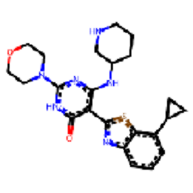 O=c1[nH]c(N2CCOCC2)nc(NC2CCCNC2)c1-c1nc2cccc(C3CC3)c2s1